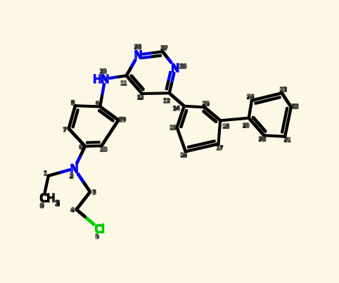 CCN(CCCl)c1ccc(Nc2cc(-c3cccc(-c4ccccc4)c3)ncn2)cc1